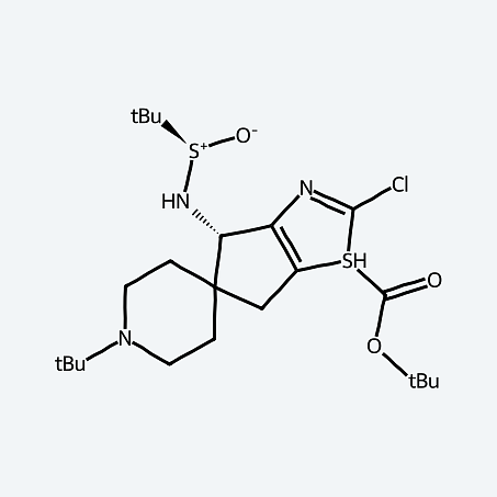 CC(C)(C)OC(=O)[SH]1C(Cl)=NC2=C1CC1(CCN(C(C)(C)C)CC1)[C@@H]2N[S@+]([O-])C(C)(C)C